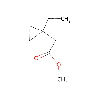 CCC1(CC(=O)OC)CC1